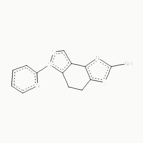 Nc1nc2c(s1)CCc1c-2cnn1-c1ccccn1